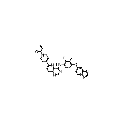 C=CC(=O)N1CC=C(c2ccc3ncnc(Nc4ccc(Oc5ccn6ncnc6c5)c(C)c4F)c3n2)CC1